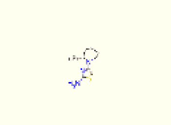 CCCC1CCCCN1c1csc(N)n1